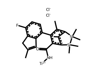 CC1=Cc2c(-c3c(C)c4c(C)c(c3C(=O)[NH][Ti+2])[Si](C)(C)[Si]4(C)C)ccc(F)c2C1.[Cl-].[Cl-]